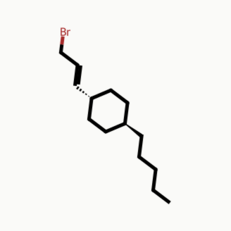 CCCCC[C@H]1CC[C@H](C=CCBr)CC1